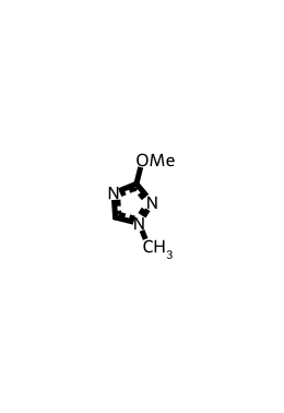 COc1ncn(C)n1